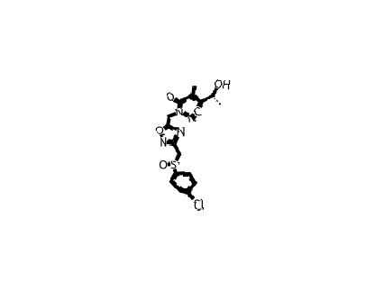 Cc1c([C@@H](C)O)cnn(Cc2nc(C[S+]([O-])c3ccc(Cl)cc3)no2)c1=O